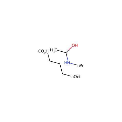 CCCCCCCCCCCC(=O)O.CCCNC(C)O